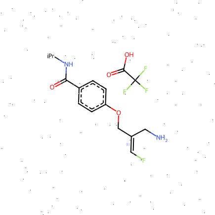 CC(C)NC(=O)c1ccc(OC/C(=C/F)CN)cc1.O=C(O)C(F)(F)F